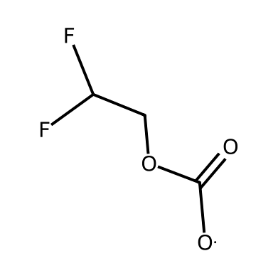 [O]C(=O)OCC(F)F